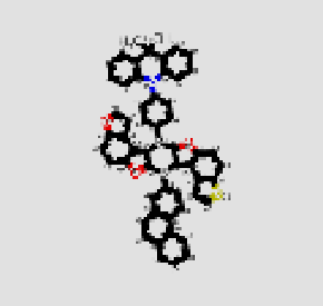 CC1(C)c2ccccc2N(c2ccc(B3c4oc5ccc6sccc6c5c4B(c4ccc5c(ccc6ccccc65)c4)c4oc5ccc6occc6c5c43)cc2)c2ccccc21